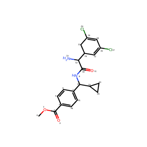 COC(=O)c1ccc(C(NC(=O)C(N)C2C=C(Cl)C=C(Cl)C2)C2CC2)cc1